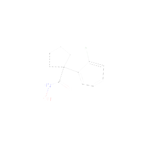 O=C(NO)C1(c2ccccc2F)CCCC1